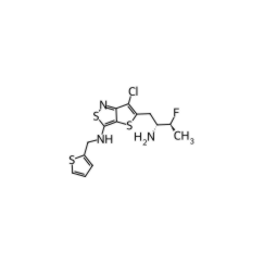 C[C@H](F)[C@H](N)Cc1sc2c(NCc3cccs3)snc2c1Cl